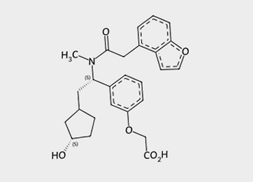 CN(C(=O)Cc1cccc2occc12)[C@@H](CC1CC[C@H](O)C1)c1cccc(OCC(=O)O)c1